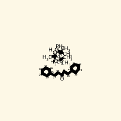 C[C](C)(C)[Pd]([C](C)(C)C)[C](C)(C)C.O=C(C=Cc1ccccc1)C=Cc1ccccc1.P